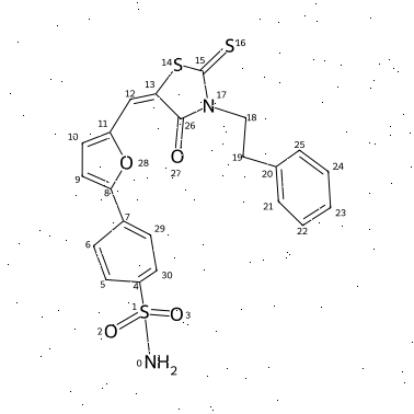 NS(=O)(=O)c1ccc(-c2ccc(C=C3SC(=S)N(CCc4ccccc4)C3=O)o2)cc1